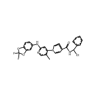 CCC(NC(=O)C1=C=CN(c2cc(Nc3ccc4c(c3)OC(F)(F)O4)ncc2C)C=C1)c1ccccc1